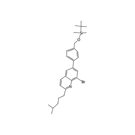 CC(C)CCCc1ccc2cc(-c3ccc(CO[Si](C)(C)C(C)(C)C)cc3)cc(Br)c2n1